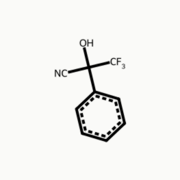 N#CC(O)(c1ccccc1)C(F)(F)F